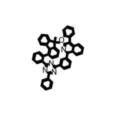 CC1(C)c2ccccc2-c2c(-c3ccccc3-c3nc(-c4ccccc4)nc(-c4cccc(C5N=c6oc7ccccc7c6=C6C=CC=CC65)c4)n3)cccc21